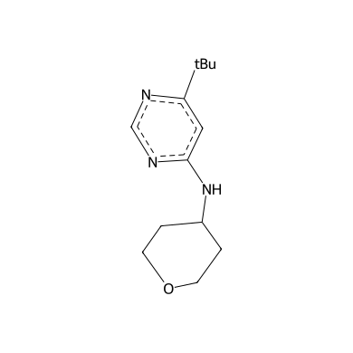 CC(C)(C)c1cc(NC2CCOCC2)ncn1